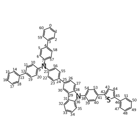 c1ccc(-c2ccc(N(c3ccc(-c4ccccc4)cc3)c3ccc(-c4ccc5c(c4)c4ccccc4n5-c4ccc(-c5ccc(-c6ccccc6)s5)cc4)cc3)cc2)cc1